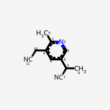 Cc1ncc(C(C)C#N)cc1CC#N